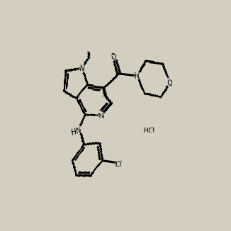 Cl.Cn1ccc2c(Nc3cccc(Cl)c3)ncc(C(=O)N3CCOCC3)c21